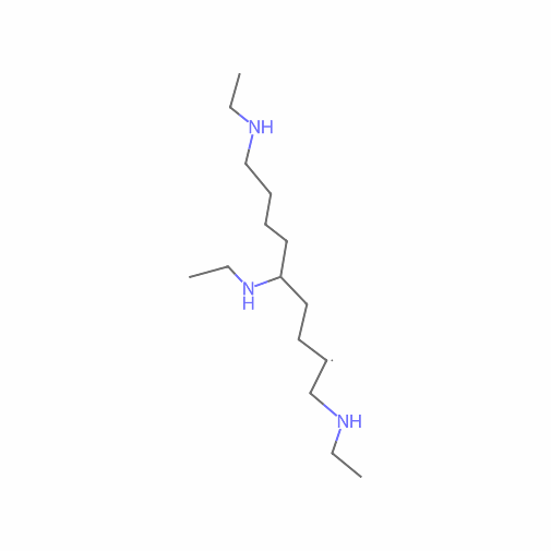 CCNC[CH]CCC(CCCCNCC)NCC